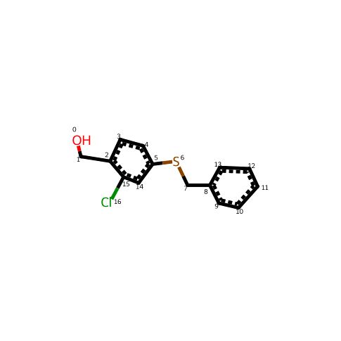 OCc1ccc(SCc2ccccc2)cc1Cl